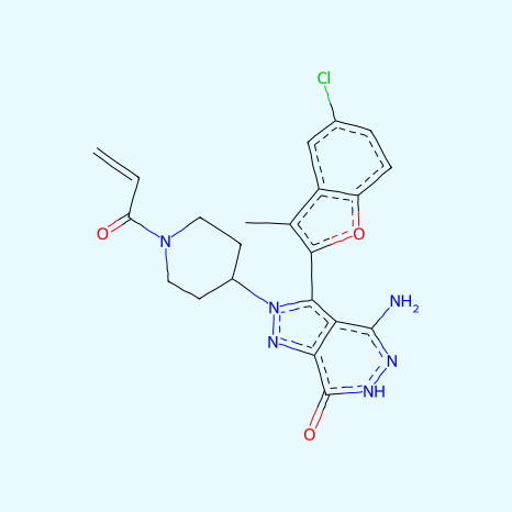 C=CC(=O)N1CCC(n2nc3c(=O)[nH]nc(N)c3c2-c2oc3ccc(Cl)cc3c2C)CC1